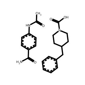 CC(=O)Nc1ccc(C(N)=O)cc1.O=C(O)N1CCC(Cc2ccccc2)CC1